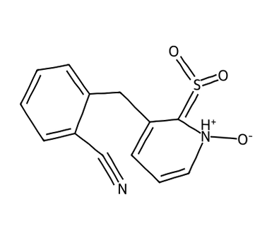 N#Cc1ccccc1CC1=CC=C[NH+]([O-])C1=S(=O)=O